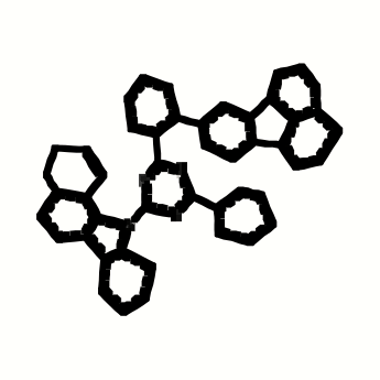 C1=Cc2c(ccc3c4ccccc4n(-c4nc(-c5ccccc5)nc(-c5ccccc5-c5ccc6c(c5)-c5cccc7cccc-6c57)n4)c23)CC1